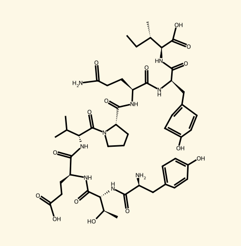 CC[C@H](C)[C@H](NC(=O)[C@@H](Cc1ccc(O)cc1)NC(=O)[C@H](CCC(N)=O)NC(=O)[C@@H]1CCCN1C(=O)[C@H](NC(=O)[C@H](CCC(=O)O)NC(=O)[C@H](NC(=O)[C@@H](N)Cc1ccc(O)cc1)[C@@H](C)O)C(C)C)C(=O)O